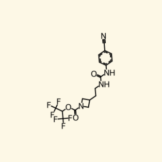 N#Cc1ccc(NC(=O)NCCC2CN(C(=O)OC(C(F)(F)F)C(F)(F)F)C2)cc1